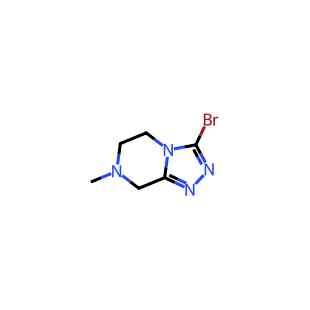 CN1CCn2c(Br)nnc2C1